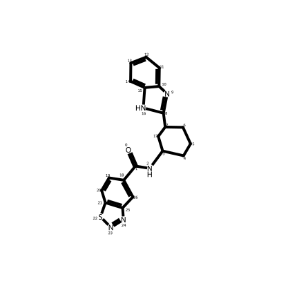 O=C(NC1CCCC(c2nc3ccccc3[nH]2)C1)c1ccc2snnc2c1